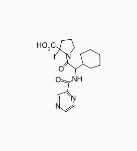 O=C(NC(C(=O)N1CCCC1(I)C(=O)O)C1CCCCC1)c1cnccn1